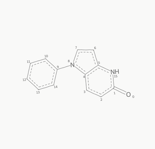 O=c1ccc2c(ccn2-c2ccccc2)[nH]1